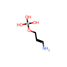 NC=CCO[Si](O)(O)O